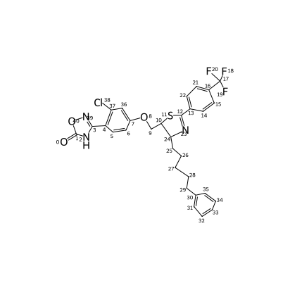 O=c1[nH]c(-c2ccc(OCC3SC(c4ccc(C(F)(F)F)cc4)=NC3CCCCCc3ccccc3)cc2Cl)no1